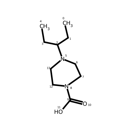 CCC(CC)N1CCN(C(=O)O)CC1